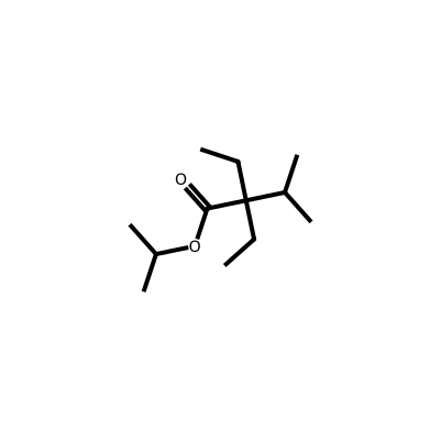 CCC(CC)(C(=O)OC(C)C)C(C)C